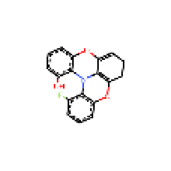 Oc1cccc2c1N1C3=C(CCC=C3O2)Oc2cccc(F)c21